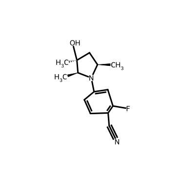 C[C@@H]1C[C@](C)(O)[C@H](C)N1c1ccc(C#N)c(F)c1